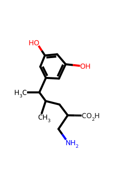 CC(CC(CN)C(=O)O)C(C)c1cc(O)cc(O)c1